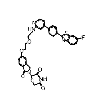 O=C1CCC(N2Cc3cc(OCCOCCNc4cc(-c5ccc(-c6nc7ccc(F)cc7s6)cc5)ccn4)ccc3C2=O)C(=O)N1